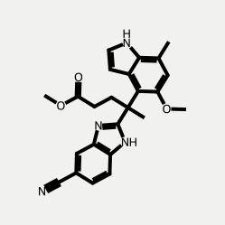 COC(=O)CCC(C)(c1nc2cc(C#N)ccc2[nH]1)c1c(OC)cc(C)c2[nH]ccc12